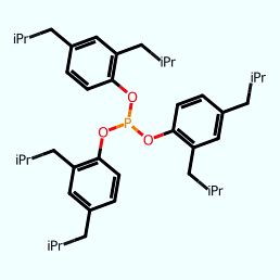 CC(C)Cc1ccc(OP(Oc2ccc(CC(C)C)cc2CC(C)C)Oc2ccc(CC(C)C)cc2CC(C)C)c(CC(C)C)c1